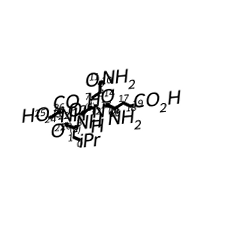 CC(C)C[C@H](NC(=O)[C@H](CCC(N)=O)NC(=O)[C@@H](N)CCC(=O)O)C(=O)N[C@@H](CO)C(=O)O